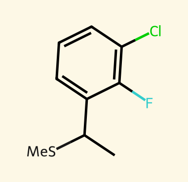 CSC(C)c1cccc(Cl)c1F